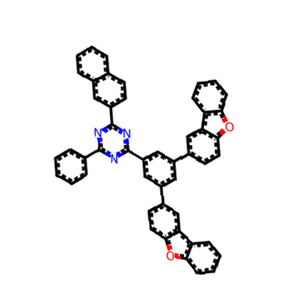 c1ccc(-c2nc(-c3cc(-c4ccc5oc6ccccc6c5c4)cc(-c4ccc5oc6ccccc6c5c4)c3)nc(-c3ccc4ccccc4c3)n2)cc1